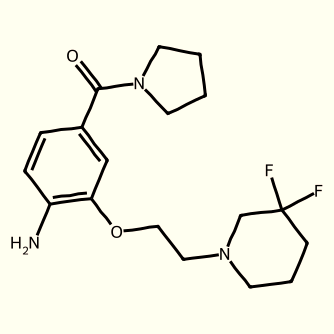 Nc1ccc(C(=O)N2CCCC2)cc1OCCN1CCCC(F)(F)C1